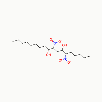 [CH2]CCCCCCCC(O)C(CC(O)C(CCCC[CH2])[N+](=O)[O-])[N+](=O)[O-]